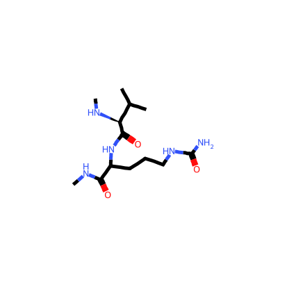 CNC(=O)C(CCCNC(N)=O)NC(=O)[C@@H](NC)C(C)C